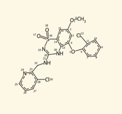 COc1cc(Oc2ccccc2Cl)c2c(c1)S(=O)(=O)N=C(NCc1ncccc1Cl)N2